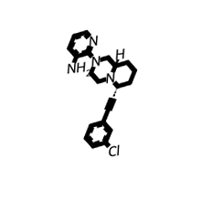 Nc1cccnc1N1CCN2[C@@H](CCC[C@@H]2C#Cc2cccc(Cl)c2)C1